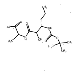 CCC[C@H](NC(=O)OC(C)(C)C)C(O)C(=O)NC(C)C(=O)O